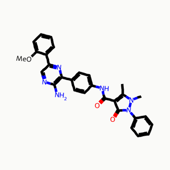 COc1ccccc1-c1cnc(N)c(-c2ccc(NC(=O)c3c(C)n(C)n(-c4ccccc4)c3=O)cc2)n1